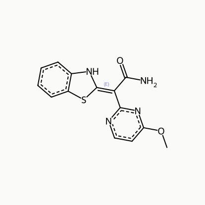 COc1ccnc(/C(C(N)=O)=C2/Nc3ccccc3S2)n1